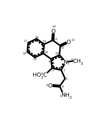 Cn1c(CC(N)=O)c(C(=O)O)c2c1C(=O)C(=O)c1ccccc1-2